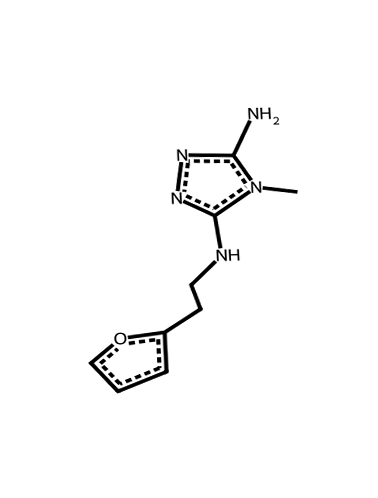 Cn1c(N)nnc1NCCc1ccco1